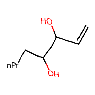 C=CC(O)C(O)CCCC